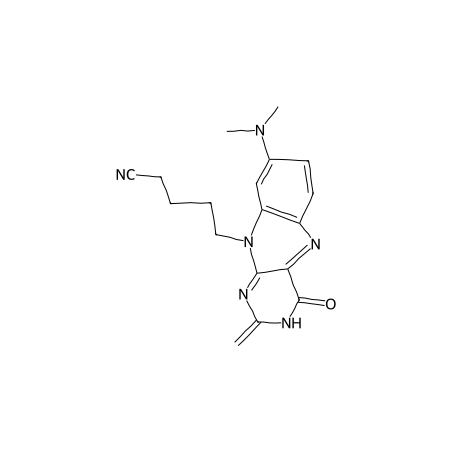 C=c1nc2c(c(=O)[nH]1)=Nc1ccc(N(C)C)cc1N2CCCCC#N